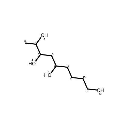 CC(O)C(O)CC(O)CCCCO